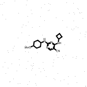 COC1CCC(Nc2ncc(C#N)c(NC3CCC3)n2)CC1